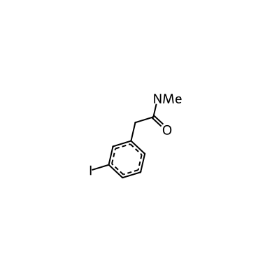 CNC(=O)Cc1cccc(I)c1